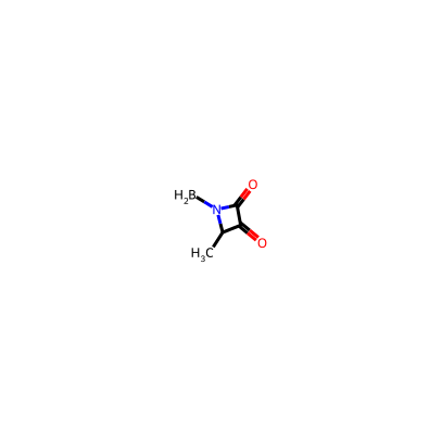 BN1C(=O)C(=O)C1C